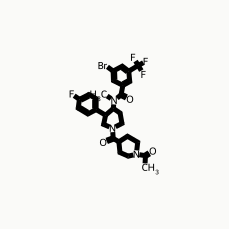 CC(=O)N1CCC(C(=O)N2CCC(N(C)C(=O)c3cc(Br)cc(C(F)(F)F)c3)C(c3ccc(F)cc3)C2)CC1